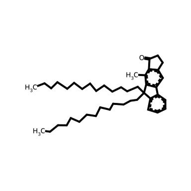 CCCCCCCCCCCCCCC1(CCCCCCCCCCCCCC)c2ccccc2-c2cc3c(c(C)c21)C(=O)CC3